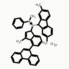 CC1=C[CH](/[Zr+2]([CH]2c3cc(C)ccc3-c3ccc(C)cc32)=[Si](/C)c2ccccc2)c2cccc(-c3cc4ccccc4c4ccccc34)c21.[Cl-].[Cl-]